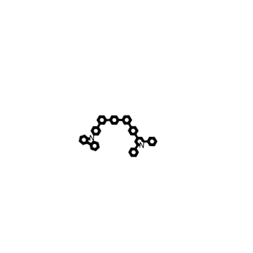 c1ccc(-c2cc(-c3ccc(-c4cccc(-c5ccc(-c6cccc(-c7ccc(-n8c9ccccc9c9ccccc98)cc7)c6)cc5)c4)cc3)cc(-c3ccccc3)n2)cc1